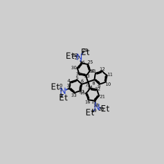 CCN(CC)c1ccc(C(c2ccccc2)(c2ccc(N(CC)CC)cc2)c2ccc(N(CC)CC)cc2)cc1